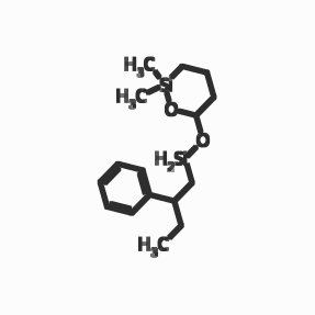 CCC(C[SiH2]OC1CCC[Si](C)(C)O1)c1ccccc1